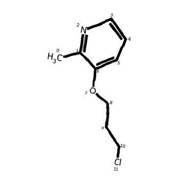 Cc1ncccc1OCCCCl